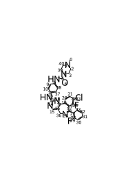 CN1CCN(C(=O)Nc2ccc(Nc3ncc4c(n3)-c3ccc(Cl)cc3C(c3c(F)cccc3F)=NC4)cc2)CC1